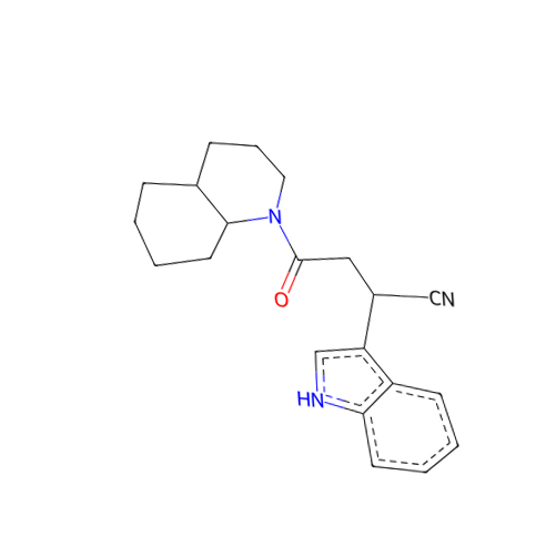 N#CC(CC(=O)N1CCCC2CCCCC21)c1c[nH]c2ccccc12